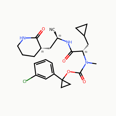 CN(C(=O)OC1(c2cccc(Cl)c2)CC1)[C@@H](CC1CC1)C(=O)N[C@H](C#N)C[C@@H]1CCCNC1=O